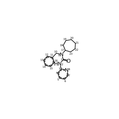 O=C(Nc1ccccn1)N(Cc1ccccc1)C1CCCCCC1